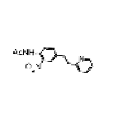 CC(=O)Nc1ccc(CCc2ccccn2)cc1[N+](=O)[O-]